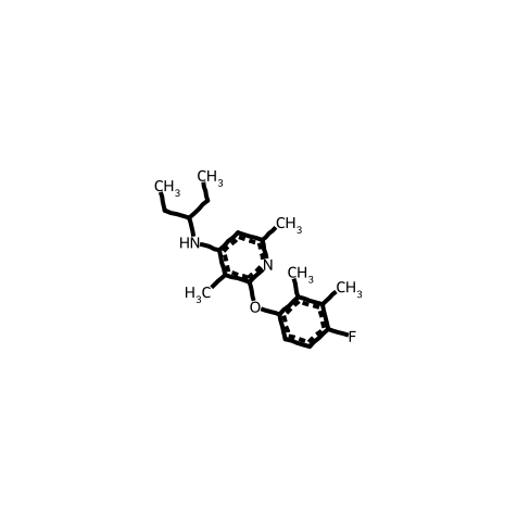 CCC(CC)Nc1cc(C)nc(Oc2ccc(F)c(C)c2C)c1C